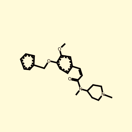 COc1cc(/C=C\C(=O)N(C)C2CCN(C)CC2)ccc1OCc1ccccc1